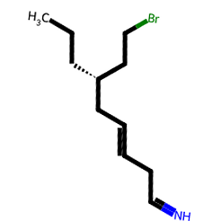 CCC[C@@H](C/C=C/CC=N)CCBr